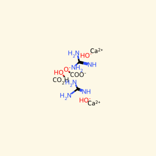 N=C(N)N.N=C(N)N.O=C(O)O.O=C([O-])[O-].[Ca+2].[Ca+2].[OH-].[OH-]